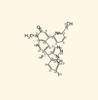 C#Cc1cccc(-c2cc(=O)n(C)c3ncc([C@](F)(c4ccc(I)cc4)c4cnnn4C)cc23)n1